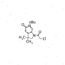 CCCCn1cc2c(cc1=O)C(C)(C)CN2C(=O)CCl